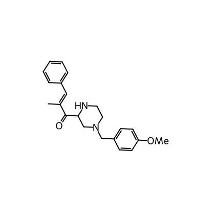 COc1ccc(CN2CCNC(C(=O)C(C)=Cc3ccccc3)C2)cc1